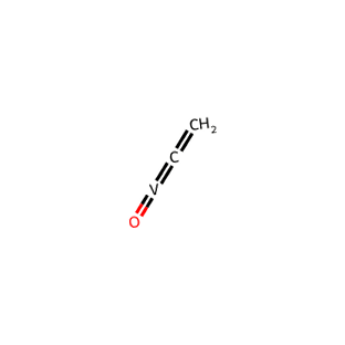 C=[C]=[V]=[O]